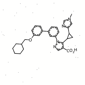 Cn1cnc(C2CC2c2c(C(=O)O)cnn2-c2cccc(-c3cccc(OCC4CCCCC4)c3)c2)c1